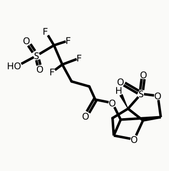 O=C(CCC(F)(F)C(F)(F)S(=O)(=O)O)OC1C2C[C@H]3C(O2)C1OS3(=O)=O